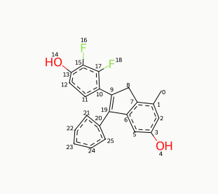 Cc1cc(O)cc2c1CC(c1ccc(O)c(F)c1F)=C2c1ccccc1